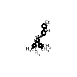 CCC1=CC=CC(C2=C(CC)CC=C(CNc3cnc(-c4ccc(C)c(C)c4)c(-c4ccc(C)c(C)c4)c3)C=C2)=CC1